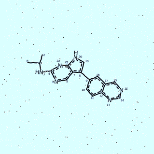 CC(C)Nc1ncc2c(-c3ccc4ncncc4c3)c[nH]c2n1